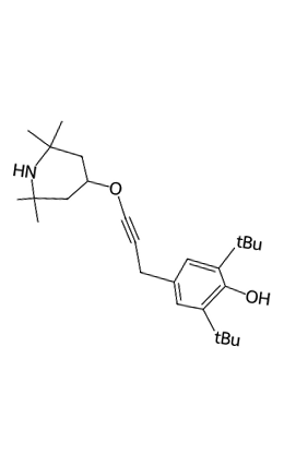 CC1(C)CC(OC#CCc2cc(C(C)(C)C)c(O)c(C(C)(C)C)c2)CC(C)(C)N1